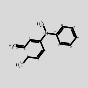 BN(C(/C=C\CC)=C/C=C)c1ccccc1